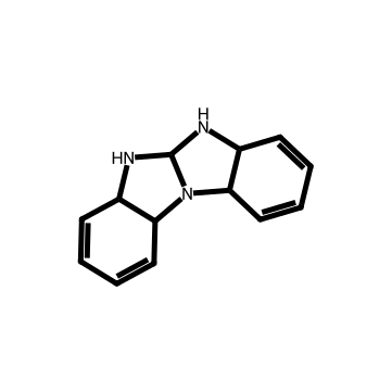 C1=CC2NC3NC4C=CC=CC4N3C2C=C1